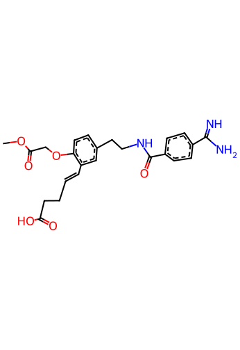 COC(=O)COc1ccc(CCNC(=O)c2ccc(C(=N)N)cc2)cc1/C=C/CCC(=O)O